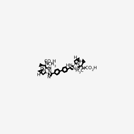 CN(C(=O)O)[C@H](C(=O)N1[C@H](c2ncc(-c3ccc(-c4ccc(-c5cnc([C@@H]6C[C@@H]7C[C@@H]7N6C(=O)[C@H](C6CC6)N(C)C(=O)O)[nH]5)cc4)cc3)[nH]2)C[C@@H]2C[C@@H]21)C1CC1